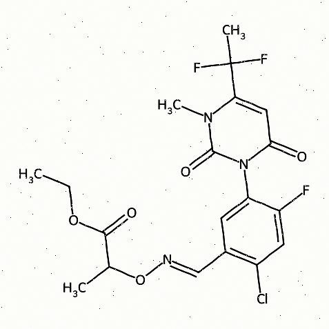 CCOC(=O)C(C)O/N=C/c1cc(-n2c(=O)cc(C(C)(F)F)n(C)c2=O)c(F)cc1Cl